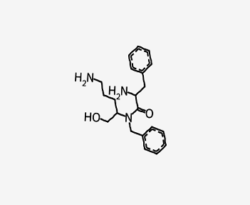 NCCCC(CO)N(Cc1ccccc1)C(=O)C(N)Cc1ccccc1